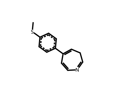 CSc1ccc(C2=CCC=NC=C2)cc1